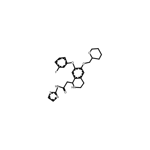 O=C(CC1NCCc2cc(OCC3CCCCO3)c(Oc3cccc(F)c3)cc21)Nc1nccs1